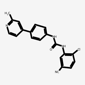 Cc1cc(-c2ccc(NC(=O)Nc3cc(C#N)ccc3Cl)cc2)ccn1